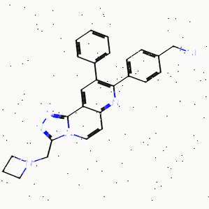 NCc1ccc(-c2nc3ccn4c(CN5CCC5)nnc4c3cc2-c2ccccc2)cc1